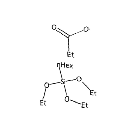 CCC([O])=O.CCCCCC[Si](OCC)(OCC)OCC